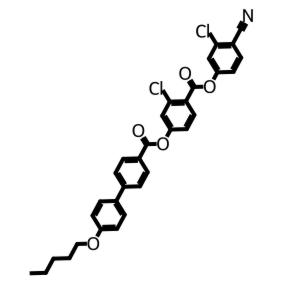 CCCCCOc1ccc(-c2ccc(C(=O)Oc3ccc(C(=O)Oc4ccc(C#N)c(Cl)c4)c(Cl)c3)cc2)cc1